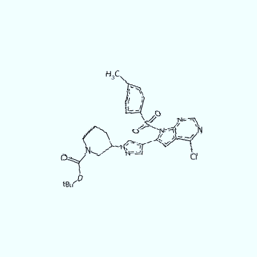 Cc1ccc(S(=O)(=O)n2c(-c3cnn(C4CCCN(C(=O)OC(C)(C)C)C4)c3)cc3c(Cl)ncnc32)cc1